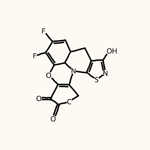 O=C1CCC2=C(OC3=C(F)C(F)=CC4Cc5c(O)nsc5N2C34)C1=O